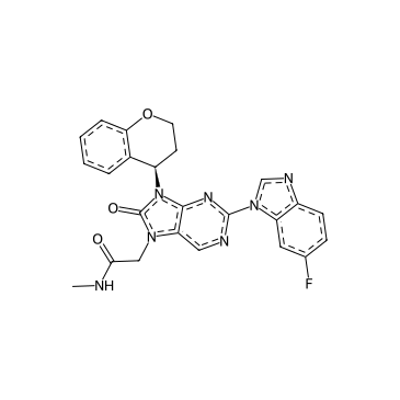 CNC(=O)Cn1c(=O)n([C@@H]2CCOc3ccccc32)c2nc(-n3cnc4ccc(F)cc43)ncc21